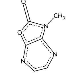 Cn1c(=O)oc2nccnc21